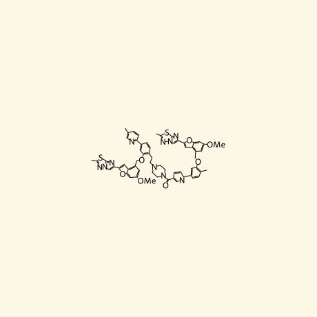 COc1cc(COc2cc(-c3ccc(C(=O)N4CCN(CCc5ccc(-c6ccc(C)cn6)cc5OCc5cc(OC)cc6oc(-c7cn8nc(C)sc8n7)cc56)CC4)cn3)ccc2C)c2cc(-c3cn4nc(C)sc4n3)oc2c1